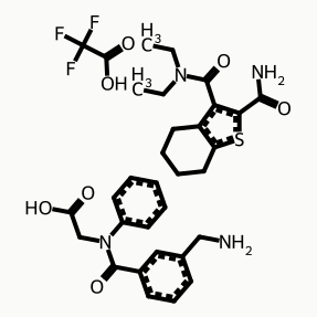 CCN(CC)C(=O)c1c(C(N)=O)sc2c1CCCC2.NCc1cccc(C(=O)N(CC(=O)O)c2ccccc2)c1.O=C(O)C(F)(F)F